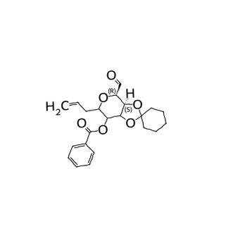 C=CCC1O[C@@H](C=O)[C@H]2OC3(CCCCC3)OC2C1OC(=O)c1ccccc1